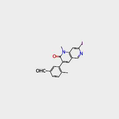 Cc1ccc(C=O)cc1-c1cc2cnc(I)cc2n(C)c1=O